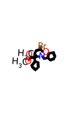 COC(=O)C1(c2ccccc2)C2N(Cc3ccccc3)C(=O)C(Br)=CC21C